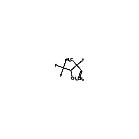 C=CC(C)(F)C(C)C(F)(F)F